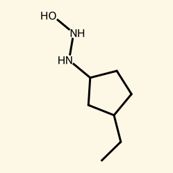 CCC1CCC(NNO)C1